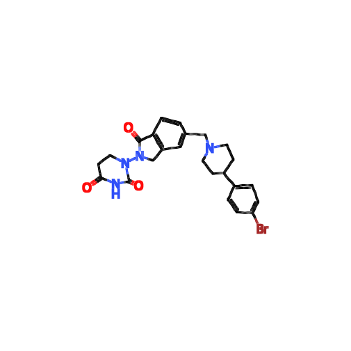 O=C1CCN(N2Cc3cc(CN4CCC(c5ccc(Br)cc5)CC4)ccc3C2=O)C(=O)N1